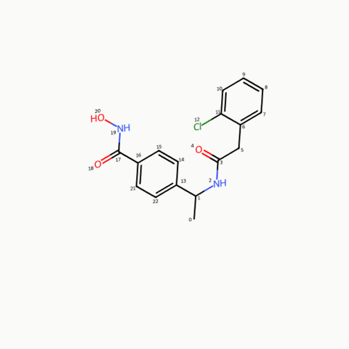 CC(NC(=O)Cc1ccccc1Cl)c1ccc(C(=O)NO)cc1